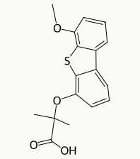 COc1cccc2c1sc1c(OC(C)(C)C(=O)O)cccc12